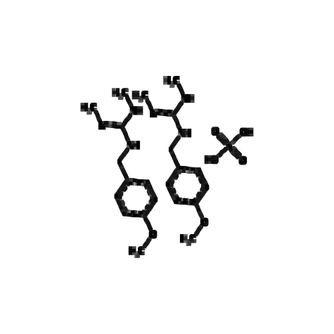 CN=C(NC)NCc1ccc(OC)cc1.CN=C(NC)NCc1ccc(OC)cc1.O=S(=O)(O)O